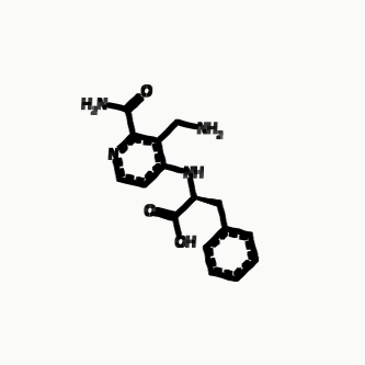 NCc1c(N[C@@H](Cc2ccccc2)C(=O)O)ccnc1C(N)=O